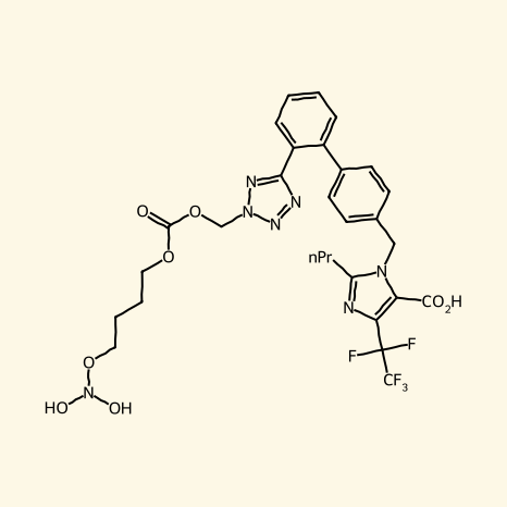 CCCc1nc(C(F)(F)C(F)(F)F)c(C(=O)O)n1Cc1ccc(-c2ccccc2-c2nnn(COC(=O)OCCCCON(O)O)n2)cc1